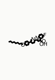 CCCCCCCCOc1ccc(-c2ccc(-c3cc(C(=O)O)c4cc(F)ccc4n3)nc2)cc1